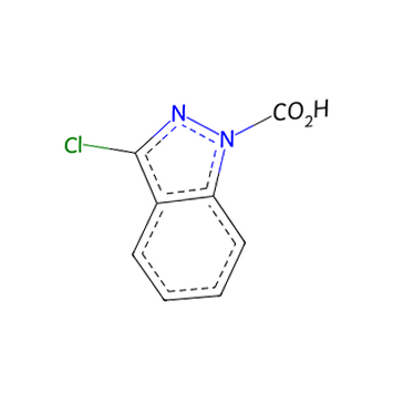 O=C(O)n1nc(Cl)c2ccccc21